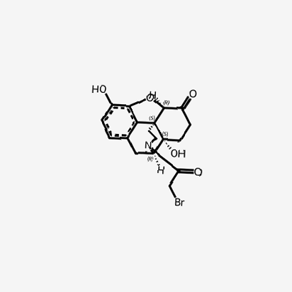 O=C1CC[C@@]2(O)[C@H]3Cc4ccc(O)c5c4[C@@]2(CCN3C(=O)CBr)[C@H]1O5